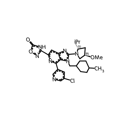 CO[C@@H]1C[C@@H](C(C)C)N(c2nc3cc(-c4noc(=O)[nH]4)nc(-c4cncc(Cl)c4)c3n2CC2CCC(C)CC2)C1